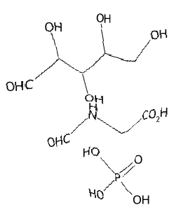 O=CC(O)C(O)C(O)CO.O=CNCC(=O)O.O=P(O)(O)O